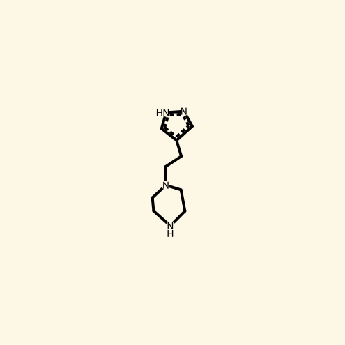 c1n[nH]cc1CCN1CCNCC1